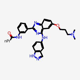 CCCC(=O)Nc1cccc(-c2nc(Nc3ccc4[nH]ncc4c3)c3cc(OCCCN(C)C)ccc3n2)c1